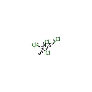 C[Si](Cl)(Cl)Cl.[SiH3]Cl